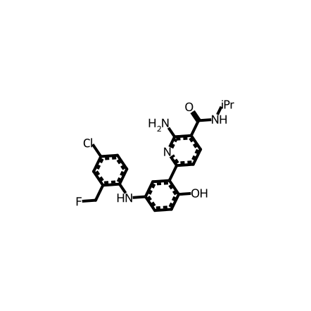 CC(C)NC(=O)c1ccc(-c2cc(Nc3ccc(Cl)cc3CF)ccc2O)nc1N